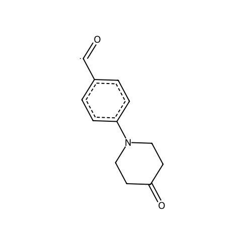 O=[C]c1ccc(N2CCC(=O)CC2)cc1